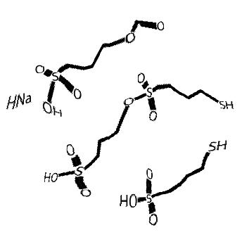 O=COCCCS(=O)(=O)O.O=S(=O)(O)CCCOS(=O)(=O)CCCS.O=S(=O)(O)CCCS.[NaH]